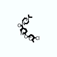 Cc1cc(Oc2ccc(C(=O)N3CCN(C(C)C)CC3)cn2)ccc1Cl